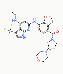 CCNc1cc(Nc2ccc(C(=O)N3CC[C@@H](N4CCOCC4)C3)c3c2OCC3)nc2[nH]cc(C(F)(F)F)c12